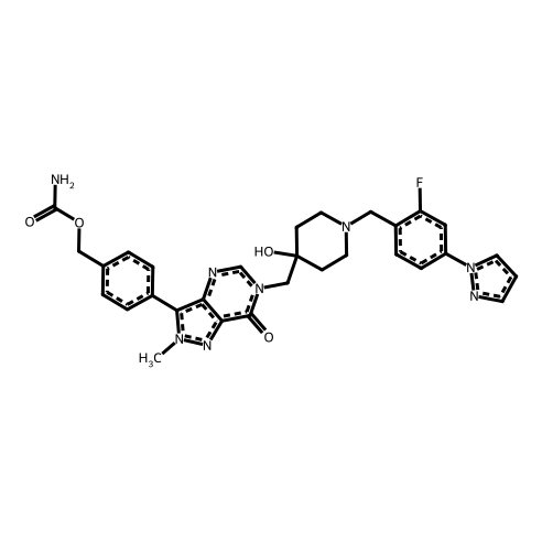 Cn1nc2c(=O)n(CC3(O)CCN(Cc4ccc(-n5cccn5)cc4F)CC3)cnc2c1-c1ccc(COC(N)=O)cc1